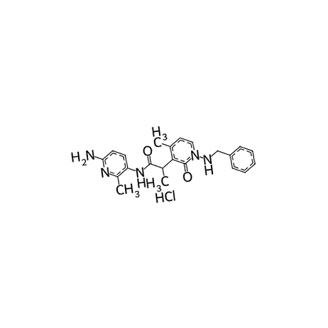 Cc1ccn(NCc2ccccc2)c(=O)c1C(C)C(=O)Nc1ccc(N)nc1C.Cl